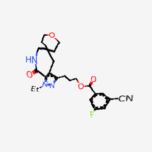 CCn1nc(CCCOC(=O)c2cc(F)cc(C#N)c2)c2c1C(=O)NCC1(CCOCC1)C2